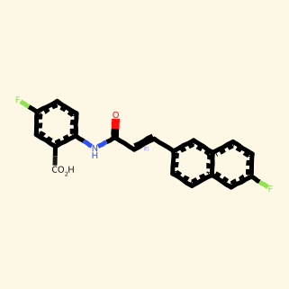 O=C(/C=C/c1ccc2cc(F)ccc2c1)Nc1ccc(F)cc1C(=O)O